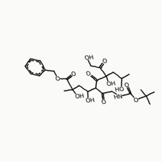 CC(O)CC(O)(C(=O)CO)C(=O)C(C(=O)CNC(=O)OC(C)(C)C)C(O)CC(C)(O)C(=O)OCc1ccccc1